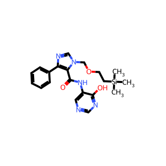 C[Si](C)(C)CCOCn1cnc(-c2ccccc2)c1C(=O)Nc1cncnc1O